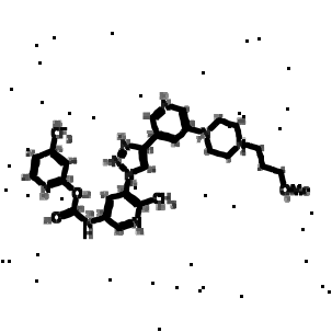 COCCCN1CCN(c2cncc(-c3cn(-c4cc(NC(=O)Oc5cc(C(F)(F)F)ccn5)cnc4C)nn3)c2)CC1